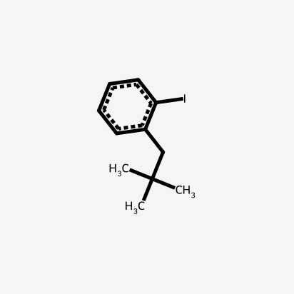 CC(C)(C)Cc1ccccc1I